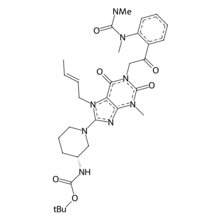 C/C=C/Cn1c(N2CCC[C@@H](NC(=O)OC(C)(C)C)C2)nc2c1c(=O)n(CC(=O)c1ccccc1N(C)C(=O)NC)c(=O)n2C